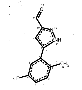 Cc1ccc(F)cc1-c1cc([C]=O)n[nH]1